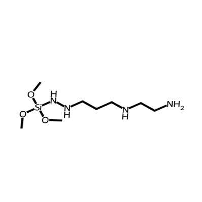 CO[Si](NNCCCNCCN)(OC)OC